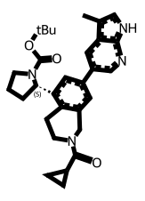 Cc1c[nH]c2ncc(-c3cc4c(c([C@@H]5CCCN5C(=O)OC(C)(C)C)c3)CCN(C(=O)C3CC3)C4)cc12